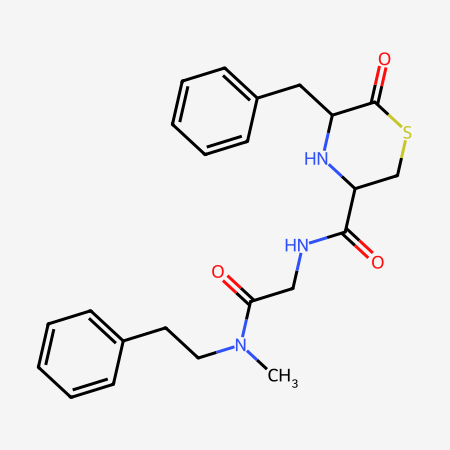 CN(CCc1ccccc1)C(=O)CNC(=O)C1CSC(=O)C(Cc2ccccc2)N1